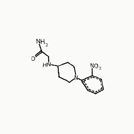 NC(=O)CNC1CCN(c2ccccc2[N+](=O)[O-])CC1